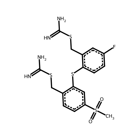 CS(=O)(=O)c1ccc(CSC(=N)N)c(Sc2ccc(F)cc2CSC(=N)N)c1